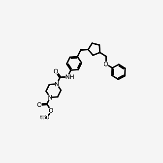 CC(C)(C)OC(=O)N1CCN(C(=O)Nc2ccc(CC3CCC(COc4ccccc4)C3)cc2)CC1